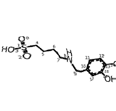 O=S(=O)(O)CCCCNCc1ccc(O)c(O)c1